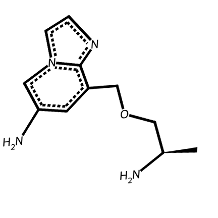 C[C@@H](N)COCc1cc(N)cn2ccnc12